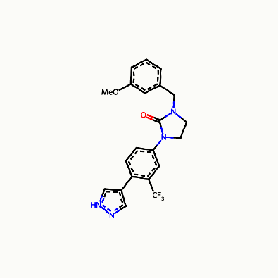 COc1cccc(CN2CCN(c3ccc(-c4cn[nH]c4)c(C(F)(F)F)c3)C2=O)c1